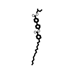 CCCCCCCCCCCCCCc1ccc(C(=O)Oc2ccc(-c3ccc(C(=O)OCC(C)CC)cc3)cc2)cc1